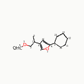 CC(COC=O)c1coc(C2CCCCC2)c1